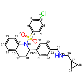 O=S(=O)(c1ccc(Cl)cc1)N1c2ccccc2CCC1c1ccc(CNCC2CC2)cc1